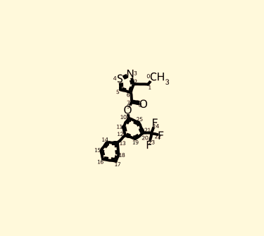 CCc1nscc1C(=O)Oc1cc(-c2ccccc2)cc(C(F)(F)F)c1